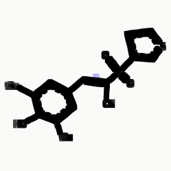 CC(C)(C)c1cc(/C=C(\C#N)S(=O)(=O)c2ccsc2)cc(C(C)(C)C)c1O